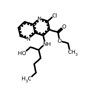 CCCCC(CO)Nc1c(C(=O)OCC)c(Cl)nc2cccnc12